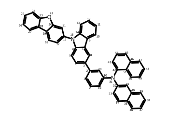 c1cc(-c2ccc3c(c2)c2ccccc2n3-c2ccc3c(c2)oc2ccccc23)cc(N(c2ccc3ccccc3c2)c2cccc3ccccc23)c1